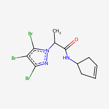 CC(C(=O)NC1CC=CC1)n1nc(Br)c(Br)c1Br